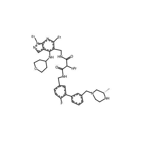 CCCC(C(=O)NCc1ccc(F)c(-c2cccc(CN3CCN[C@@H](C)C3)c2)c1)C(=O)NCc1c(CC)nc2c(cnn2CC)c1NC1CCOCC1